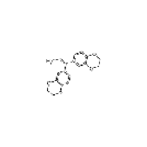 CC=C(c1ccc2c(c1)OCCO2)c1ccc2c(c1)OCCO2